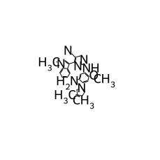 COc1cc(N2CCC(C)(C)C2)c(N)cc1Nc1ncc(C#N)c(-c2cn(C)c3ccccc23)n1